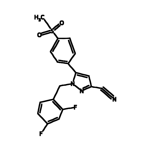 CS(=O)(=O)c1ccc(-c2cc(C#N)nn2Cc2ccc(F)cc2F)cc1